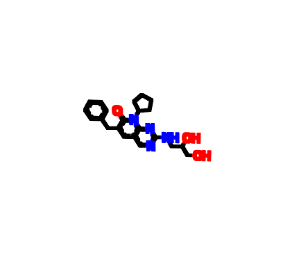 O=c1c(Cc2ccccc2)cc2cnc(NCC(O)CO)nc2n1C1CCCC1